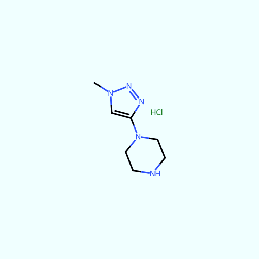 Cl.Cn1cc(N2CCNCC2)nn1